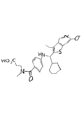 Cc1c(C(Nc2ccc(C(=O)N(C)CCC(=O)O)cc2)C2CCCCC2)sc2cc(Cl)ncc12